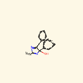 CNC1=NC(O)(c2ccccc2)C(c2ccccc2)=N1